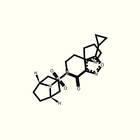 O=C(N[C@H]1C[C@H]2CC[C@@H](C1)N2S(=O)(=O)N1CCC2(CCCN2)CC1)c1cc(C2CC2)on1